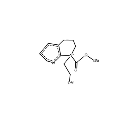 CC(C)(C)OC(=O)[N+]1(CCO)CCCc2cccnc21